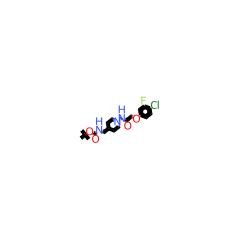 CC(C)(C)OC(=O)NCC1CCN(NC(=O)COc2ccc(Cl)c(F)c2)CC1